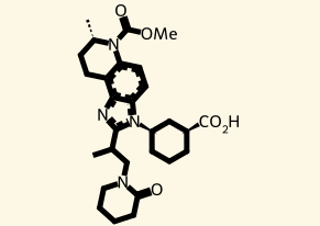 COC(=O)N1c2ccc3c(nc(C(C)CN4CCCCC4=O)n3[C@@H]3CCC[C@H](C(=O)O)C3)c2CC[C@@H]1C